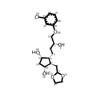 O[C@H](CC[C@@H]1[C@@H](CC2OCCO2)[C@H](O)C[C@@H]1O)COc1cccc(Cl)c1